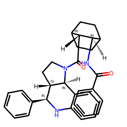 O=C(N[C@@H]1C2CCC(CC2)[C@H]1C(=O)N1CC[C@H]2[C@H](c3ccccc3)Nc3ccccc3[C@@H]21)c1ccccc1